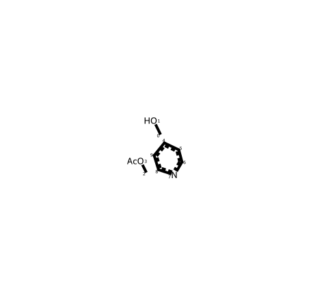 CO.COC(C)=O.c1ccncc1